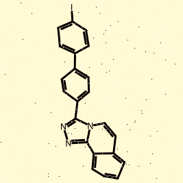 Ic1ccc(-c2ccc(-c3nnc4c5ccccc5ccn34)cc2)cc1